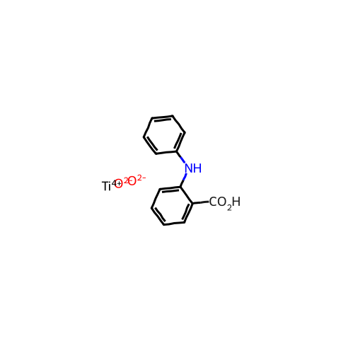 O=C(O)c1ccccc1Nc1ccccc1.[O-2].[O-2].[Ti+4]